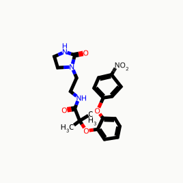 CC(C)(Oc1ccccc1Oc1ccc([N+](=O)[O-])cc1)C(=O)NCCN1CCNC1=O